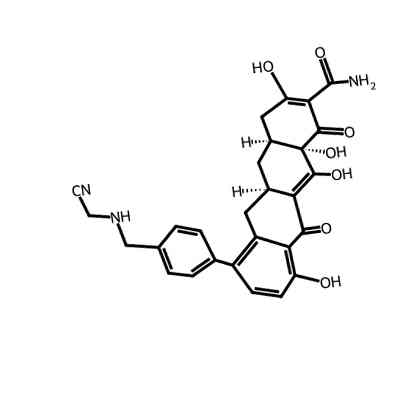 N#CCNCc1ccc(-c2ccc(O)c3c2C[C@H]2C[C@H]4CC(O)=C(C(N)=O)C(=O)[C@@]4(O)C(O)=C2C3=O)cc1